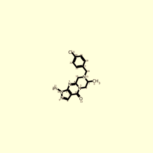 CC1Cn2c(nc3c(cnn3C(C)C)c2=O)CN1Cc1ccc(Cl)cc1